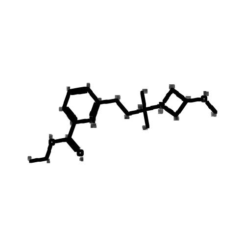 CCOC(=O)c1cccc(CCC(C)(C)N2CC(OC)C2)n1